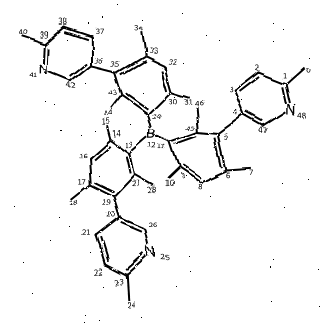 Cc1ccc(-c2c(C)cc(C)c(B(c3c(C)cc(C)c(-c4ccc(C)nc4)c3C)c3c(C)cc(C)c(-c4ccc(C)nc4)c3C)c2C)cn1